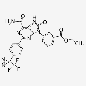 CCOC(=O)c1cccc(-n2c(=O)[nH]c3c(C(N)=O)nc(-c4ccc(C5(C(F)(F)F)N=N5)cc4)nc32)c1